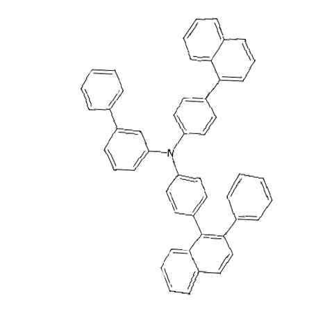 c1ccc(-c2cccc(N(c3ccc(-c4cccc5ccccc45)cc3)c3ccc(-c4c(-c5ccccc5)ccc5ccccc45)cc3)c2)cc1